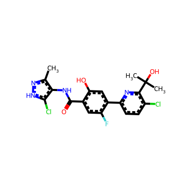 Cc1n[nH]c(Cl)c1NC(=O)c1cc(F)c(-c2ccc(Cl)c(C(C)(C)O)n2)cc1O